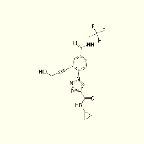 O=C(NCC(F)(F)F)c1ccc(-n2cc(C(=O)NC3CC3)nn2)c(C#CCO)c1